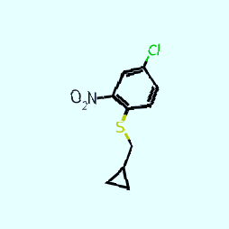 O=[N+]([O-])c1cc(Cl)ccc1SCC1CC1